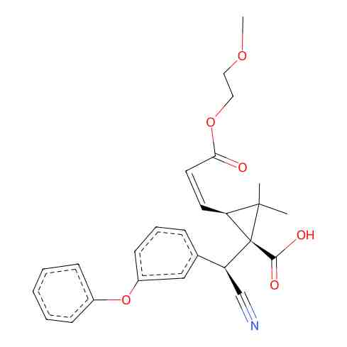 COCCOC(=O)/C=C\[C@H]1C(C)(C)[C@]1(C(=O)O)[C@@H](C#N)c1cccc(Oc2ccccc2)c1